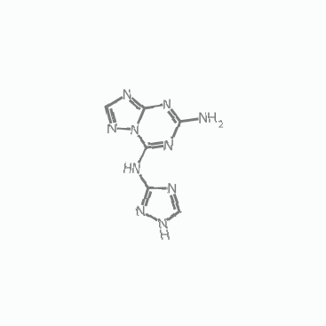 Nc1nc(Nc2nc[nH]n2)n2ncnc2n1